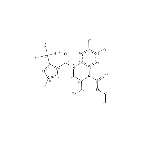 CCOC(=O)N1c2cc(C)c(C)cc2N(C(=O)c2cc(C)oc2C(F)(F)F)CC1CC